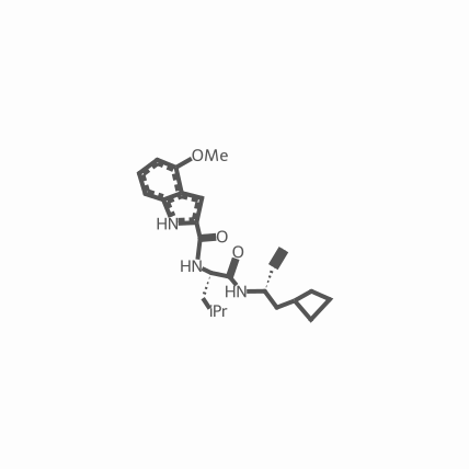 C#C[C@H](CC1CCC1)NC(=O)[C@H](CC(C)C)NC(=O)c1cc2c(OC)cccc2[nH]1